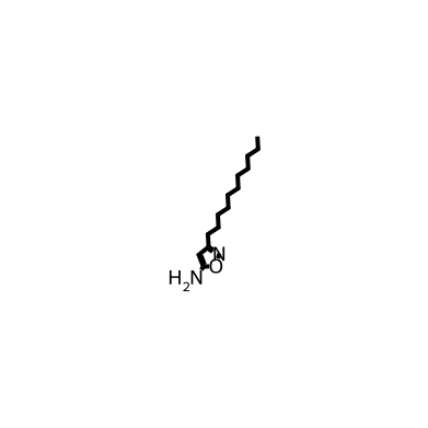 CCCCCCCCCCCc1cc(N)on1